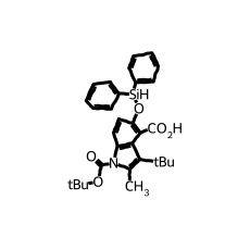 Cc1c(C(C)(C)C)c2c(C(=O)O)c(O[SiH](c3ccccc3)c3ccccc3)ccc2n1C(=O)OC(C)(C)C